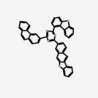 c1ccc2c(c1)ccc1ccc(-c3nc(-c4ccc5cc6c(cc5c4)oc4ccccc46)nc(-c4cccc5oc6ccccc6c45)n3)cc12